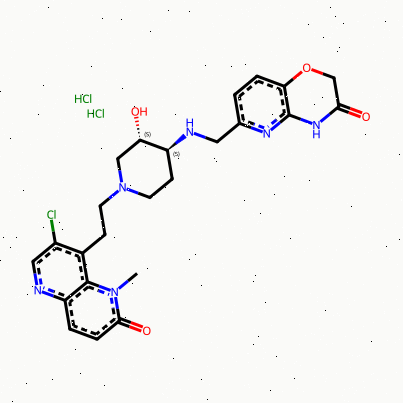 Cl.Cl.Cn1c(=O)ccc2ncc(Cl)c(CCN3CC[C@H](NCc4ccc5c(n4)NC(=O)CO5)[C@@H](O)C3)c21